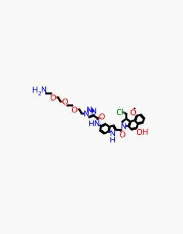 COc1cccc2c(O)cc3c(c12)C(CCl)CN3C(=O)c1cc2cc(NC(=O)c3cn(CCOCCOCCOCCN)nn3)ccc2[nH]1